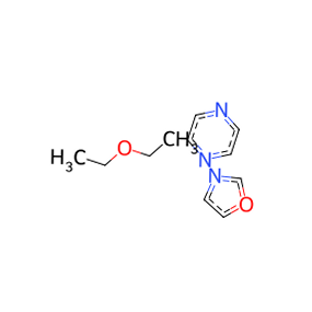 CCOCC.c1cnccn1.c1cocn1